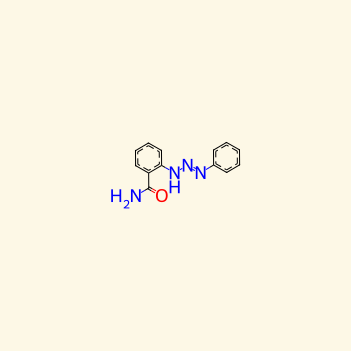 NC(=O)c1ccccc1NN=Nc1ccccc1